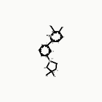 Cc1ccc(-c2cccc(N3CCC(C)(C)C3)c2)nc1C